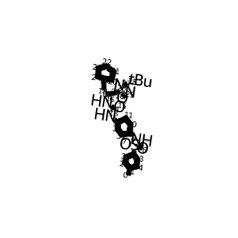 Cc1ccc(S(=O)(=O)Nc2ccc(NC(=O)N[C@H](Cc3ccccc3)c3nc(C(C)(C)C)no3)cc2)cc1